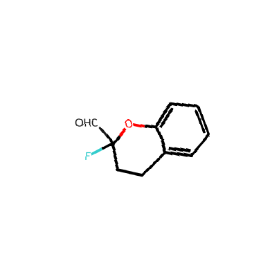 O=CC1(F)CCc2ccccc2O1